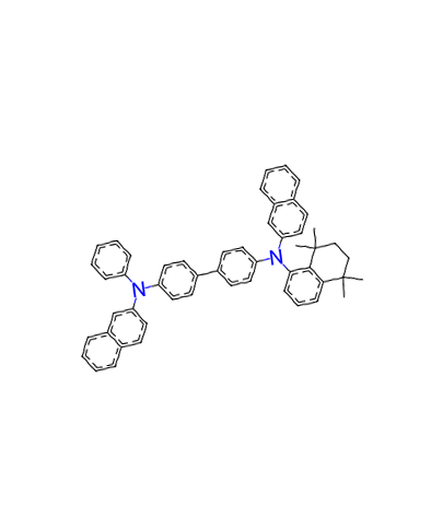 CC1(C)CCC(C)(C)c2c(N(c3ccc(-c4ccc(N(c5ccccc5)c5ccc6ccccc6c5)cc4)cc3)c3ccc4ccccc4c3)cccc21